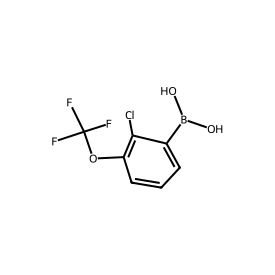 OB(O)c1cccc(OC(F)(F)F)c1Cl